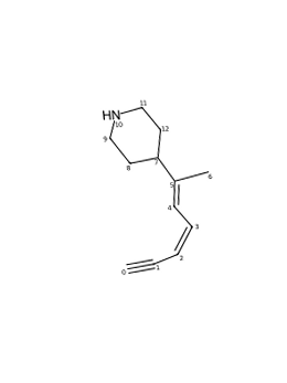 C#C/C=C\C=C(/C)C1CCNCC1